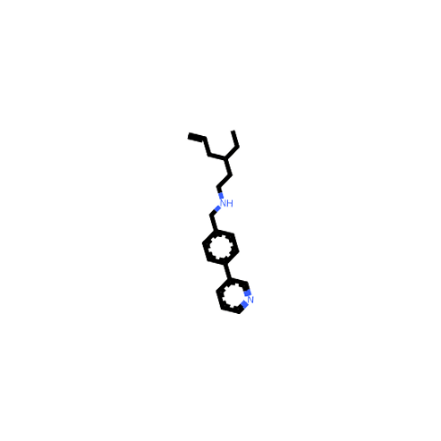 C=CCC(CC)CCNCc1ccc(-c2cccnc2)cc1